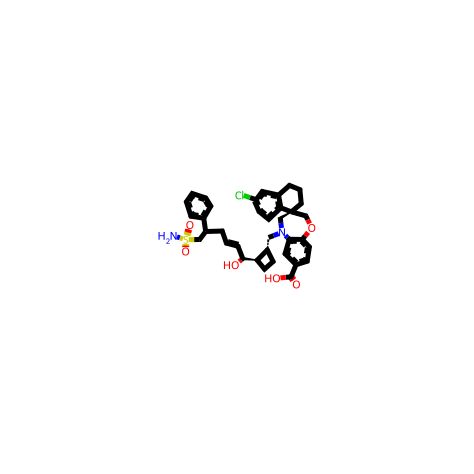 NS(=O)(=O)CC(C/C=C/C(O)[C@@H]1CC[C@H]1CN1C[C@@]2(CCCc3cc(Cl)ccc32)COc2ccc(C(=O)O)cc21)c1ccccc1